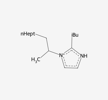 CCCCCCCCC(C)[n+]1cc[nH]c1C(C)CC